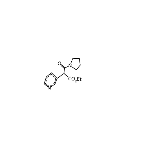 CCOC(=O)C(C(=O)N1CCCC1)c1cccnc1